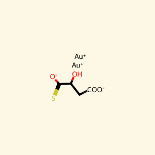 O=C([O-])CC(O)C([O-])=S.[Au+].[Au+]